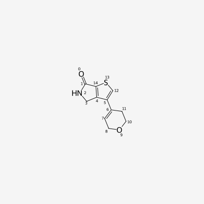 O=C1NCc2c(C3=CCOCC3)csc21